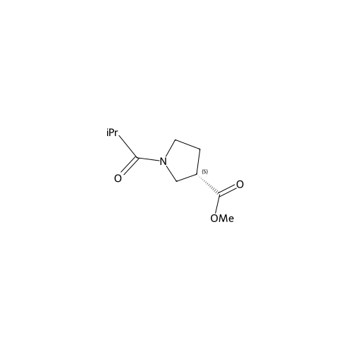 COC(=O)[C@H]1CCN(C(=O)C(C)C)C1